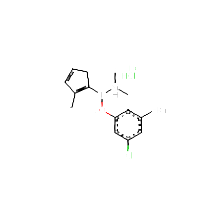 CC1=[C]([Ti]([O]c2cc(Cl)cc(C(C)(C)C)c2)[SiH](C)C)CC=C1.Cl.Cl